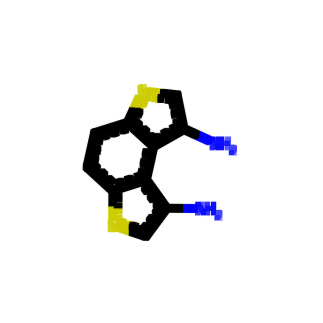 Nc1csc2ccc3scc(N)c3c12